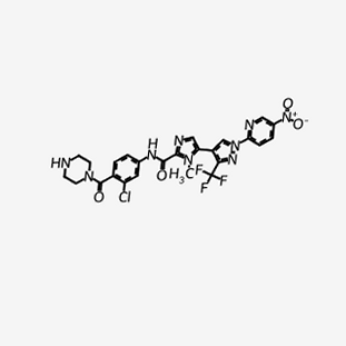 Cn1c(-c2cn(-c3ccc([N+](=O)[O-])cn3)nc2C(F)(F)F)cnc1C(=O)Nc1ccc(C(=O)N2CCNCC2)c(Cl)c1